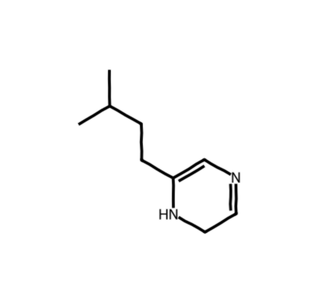 CC(C)CCC1=CN=CCN1